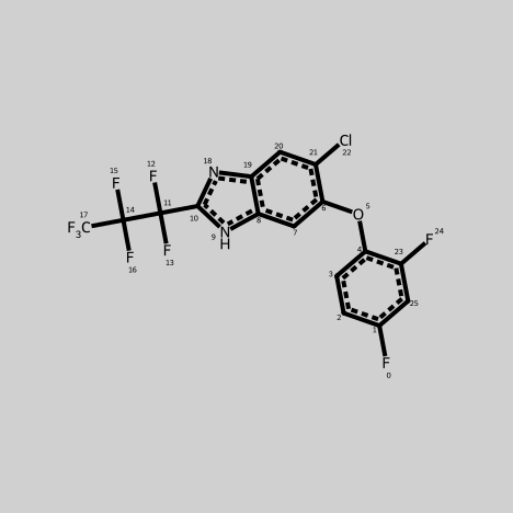 Fc1ccc(Oc2cc3[nH]c(C(F)(F)C(F)(F)C(F)(F)F)nc3cc2Cl)c(F)c1